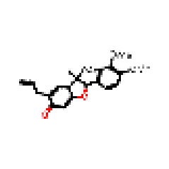 C=CCC1=CC2C(=CC1=O)OC(c1ccc(OC)c(OC)c1)C2(C)OC(C)=O